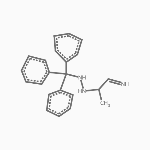 CC(C=N)NNC(c1ccccc1)(c1ccccc1)c1ccccc1